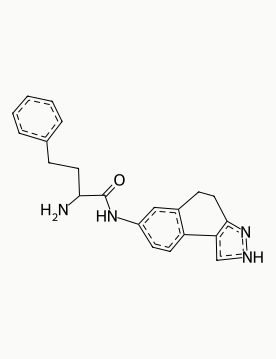 NC(CCc1ccccc1)C(=O)Nc1ccc2c(c1)CCc1n[nH]cc1-2